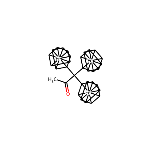 CC(=O)C([C]12[CH]3[CH]4[CH]5[CH]1[Fe]45321678[CH]2[CH]1[CH]6[CH]7[CH]28)([C]12[CH]3[CH]4[CH]5[CH]1[Fe]45321678[CH]2[CH]1[CH]6[CH]7[CH]28)[C]12[CH]3[CH]4[CH]5[CH]1[Fe]45321678[CH]2[CH]1[CH]6[CH]7[CH]28